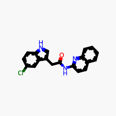 O=C(Cc1c[nH]c2ccc(Cl)cc12)Nc1ccc2ccccc2n1